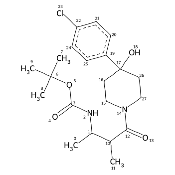 CC(NC(=O)OC(C)(C)C)C(C)C(=O)N1CCC(O)(c2ccc(Cl)cc2)CC1